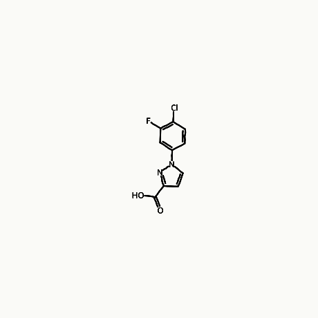 O=C(O)c1ccn(-c2ccc(Cl)c(F)c2)n1